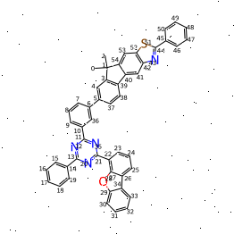 CC1(C)c2cc(-c3cccc(-c4nc(-c5ccccc5)nc(-c5cccc6c5oc5ccccc56)n4)c3)ccc2-c2cc3nc(-c4ccccc4)sc3cc21